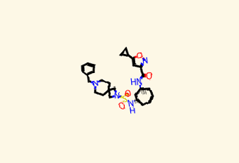 O=C(N[C@H]1CC=CC[C@H](NS(=O)(=O)N2CC3(CCN(Cc4ccccc4)CC3)C2)C1)c1cc(C2CC2)on1